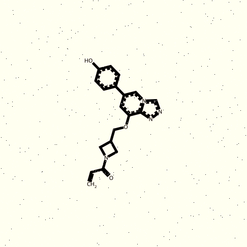 C=CC(=O)N1CC(COc2cc(-c3ccc(O)cc3)cn3cnnc23)C1